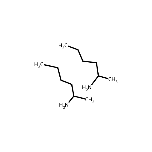 CCCCC(C)N.CCCCC(C)N